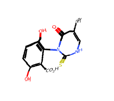 CCCc1c[nH]c(=S)n(-c2c(O)ccc(O)c2C(=O)O)c1=O